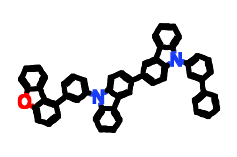 c1ccc(-c2cccc(-n3c4ccccc4c4cc(-c5ccc6c(c5)c5ccccc5n6-c5cccc(-c6cccc7oc8ccccc8c67)c5)ccc43)c2)cc1